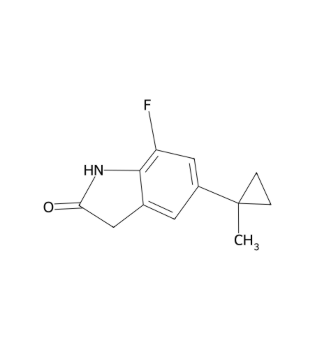 CC1(c2cc(F)c3c(c2)CC(=O)N3)CC1